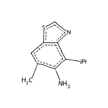 Cc1cc2scnc2c(C(C)C)c1N